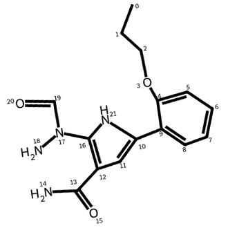 CCCOc1ccccc1-c1cc(C(N)=O)c(N(N)C=O)[nH]1